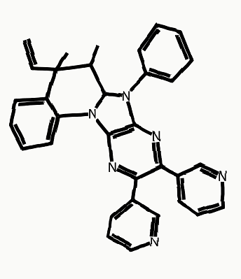 C=CC1(C)c2ccccc2N2c3nc(-c4cccnc4)c(-c4cccnc4)nc3N(c3ccccc3)C2C1C